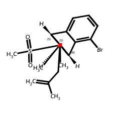 C=C(C)C[C@H]1[C@H]2c3c(Br)cccc3[C@H](CC2(C)C)N1S(C)(=O)=O